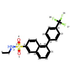 CCNS(=O)(=O)c1ccc2c(-c3ccc(C(F)(F)F)cc3)cccc2c1